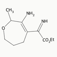 CCOC(=O)C(=N)C1=C(N)C(C)OCCC1